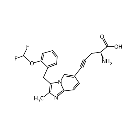 Cc1nc2ccc(C#CC[C@H](N)C(=O)O)cn2c1Cc1ccccc1OC(F)F